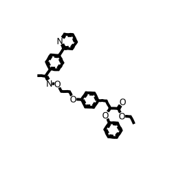 CCOC(=O)C(Cc1ccc(OCCON=C(C)c2ccc(-c3ccccn3)cc2)cc1)Oc1ccccc1